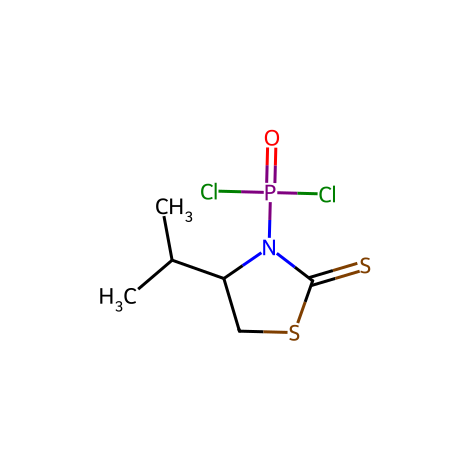 CC(C)C1CSC(=S)N1P(=O)(Cl)Cl